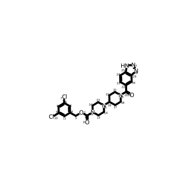 O=C(OCc1cc(Cl)cc(Cl)c1)N1CCN(C2CCN(C(=O)c3ccc4[nH]nnc4c3)CC2)CC1